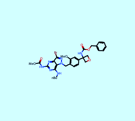 CCCCNc1nc(NC(=O)OC)nc2c(Br)nn(Cc3ccc(C4(NC(=O)OCc5ccccc5)COC4)cc3OC)c12